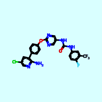 Nc1ncc(Cl)cc1-c1ccc(Oc2ncc(NC(=O)Nc3ccc(F)c(C(F)(F)F)c3)cn2)cc1